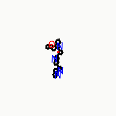 c1cc(-c2cnc3ccc(-c4ccnc5c4ccc4cccnc45)cc3c2)cc(-c2nc3ccccc3c3c2ccc2c4ccccc4oc23)c1